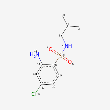 CC(C)CNS(=O)(=O)c1ccc(Cl)cc1N